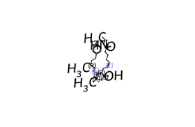 CCNC(=O)CCC/C=C\C[C@@H]1[C@@H](/C=C/[C@H](C)CCc2ccccc2)[C@H](C)C[C@@H]1O